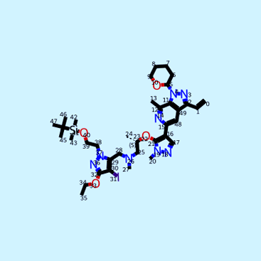 C=Cc1nn(C2CCCCO2)c2c(C)nc(-c3cnn(C)c3O[C@@H](C)CN(C)Cc3c(I)c(OCC)nn3CCO[Si](C)(C)C(C)(C)C)cc12